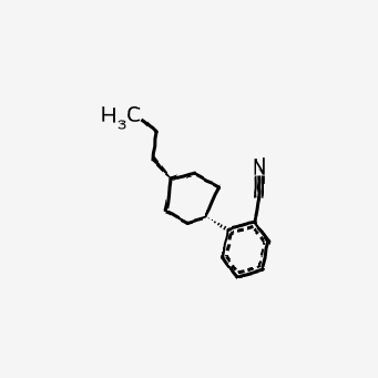 CCC[C@H]1CC[C@H](c2ccccc2C#N)CC1